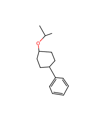 CC(C)OC1CCC(c2ccccc2)CC1